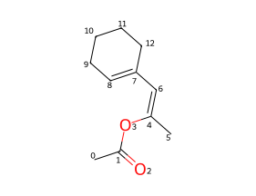 CC(=O)OC(C)=CC1=CCCCC1